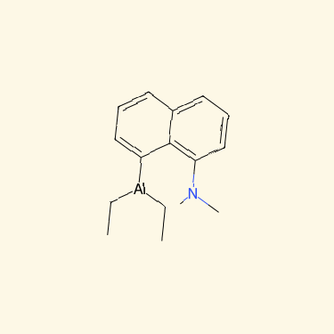 C[CH2][Al]([CH2]C)[c]1cccc2cccc(N(C)C)c12